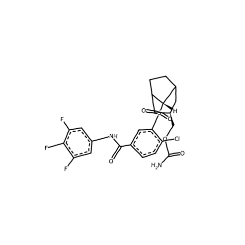 NC(=O)OC[C@H]1CC2CCC(C1)[C@@H]2S(=O)(=O)c1cc(C(=O)Nc2cc(F)c(F)c(F)c2)ccc1Cl